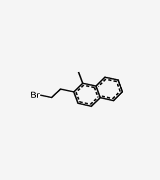 Cc1c(CCBr)ccc2ccccc12